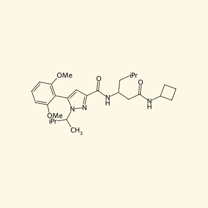 COc1cccc(OC)c1-c1cc(C(=O)NC(CC(=O)NC2CCC2)CC(C)C)nn1C(C)C(C)C